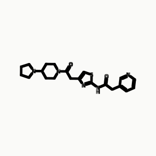 O=C(Cc1cccnc1)Nc1nc(CC(=O)N2CCC(N3CCCC3)CC2)cs1